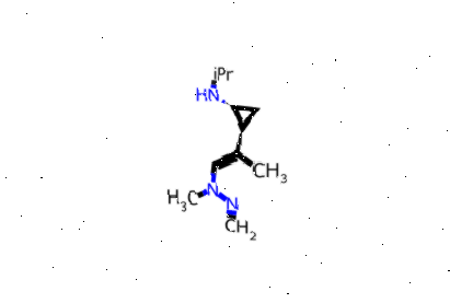 C=NN(C)/C=C(\C)[C@@H]1C[C@H]1NC(C)C